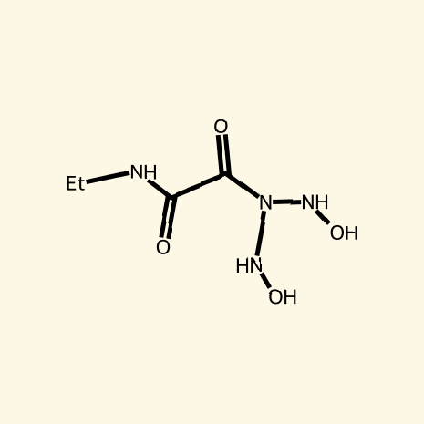 CCNC(=O)C(=O)N(NO)NO